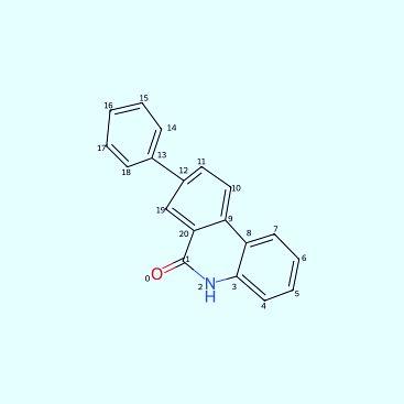 O=c1[nH]c2ccccc2c2ccc(-c3ccccc3)cc12